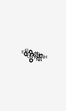 C[C@H](Nc1ncnc2[nH]ccc(=O)c12)c1c(Cl)c2cccc(-c3cccc(F)c3Cl)c2c(=O)n1-c1ccccc1